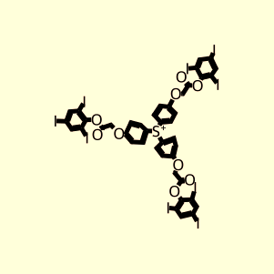 O=C(COc1ccc([S+](c2ccc(OCC(=O)Oc3c(I)cc(I)cc3I)cc2)c2ccc(OCC(=O)Oc3c(I)cc(I)cc3I)cc2)cc1)Oc1c(I)cc(I)cc1I